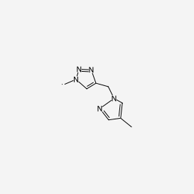 [CH2]n1cc(Cn2cc(C)cn2)nn1